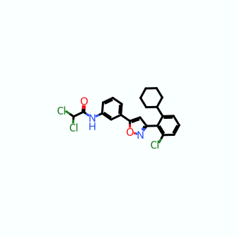 O=C(Nc1cccc(-c2cc(-c3c(Cl)cccc3C3CCCCC3)no2)c1)C(Cl)Cl